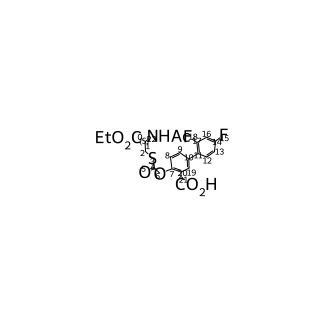 CCOC(=O)[C@@H](CSC(=O)Oc1ccc(-c2ccc(F)cc2F)cc1C(=O)O)NC(C)=O